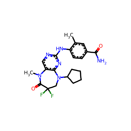 Cc1cc(C(N)=O)ccc1Nc1ncc2c(n1)N(C1CCCC1)CC(F)(F)C(=O)N2C